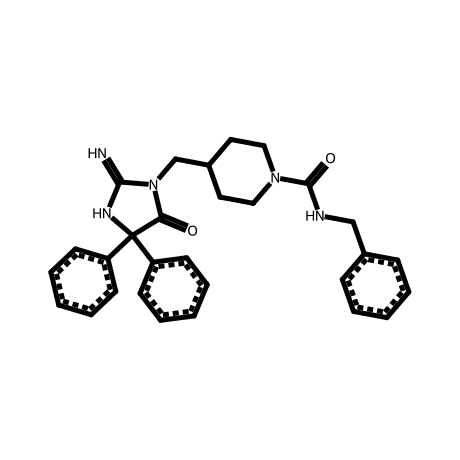 N=C1NC(c2ccccc2)(c2ccccc2)C(=O)N1CC1CCN(C(=O)NCc2ccccc2)CC1